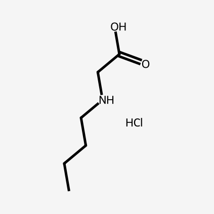 CCCCNCC(=O)O.Cl